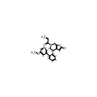 C=CC(=O)N1Cc2sc(Cl)cc2[C@@H](c2ccccc2-c2cncc(OC)c2)C1